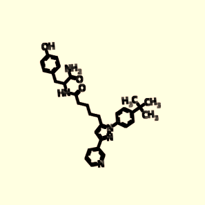 CC(C)(C)c1ccc(-n2nc(-c3cccnc3)cc2CCCCC(=O)NC(Cc2ccc(O)cc2)C(N)=O)cc1